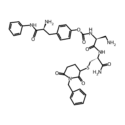 NC[C@H](NC(=O)Oc1ccc(C[C@H](N)C(=O)Nc2ccccc2)cc1)C(=O)N[C@@H](CSC1CCC(=O)N(Cc2ccccc2)C1=O)C(N)=O